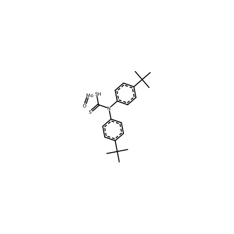 CC(C)(C)c1ccc(N(C(=S)S)c2ccc(C(C)(C)C)cc2)cc1.[O]=[Mo]